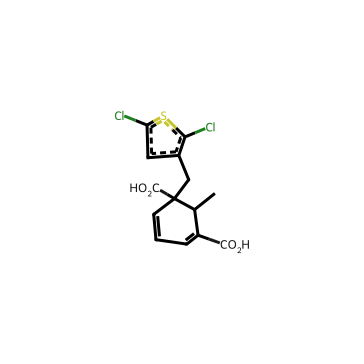 CC1C(C(=O)O)=CC=CC1(Cc1cc(Cl)sc1Cl)C(=O)O